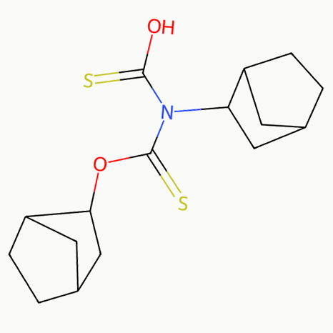 OC(=S)N(C(=S)OC1CC2CCC1C2)C1CC2CCC1C2